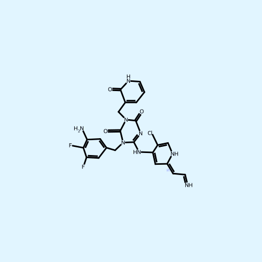 N=C/C=C1/C=C(Nc2nc(=O)n(Cc3ccc[nH]c3=O)c(=O)n2Cc2cc(N)c(F)c(F)c2)C(Cl)=CN1